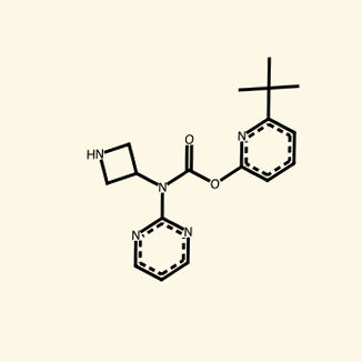 CC(C)(C)c1cccc(OC(=O)N(c2ncccn2)C2CNC2)n1